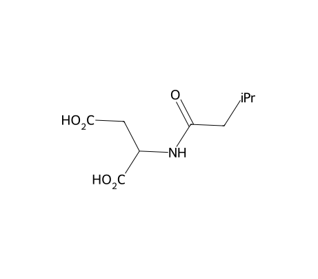 CC(C)CC(=O)NC(CC(=O)O)C(=O)O